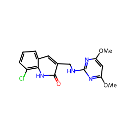 COc1cc(OC)nc(NCc2cc3cccc(Cl)c3[nH]c2=O)n1